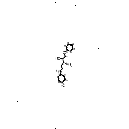 NC(CCNc1ccc(Cl)cc1)C(O)COc1ccccc1